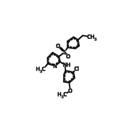 CCc1ccc(S(=O)(=O)c2ccc(C)nc2Nc2ccc(OC)cc2Cl)cc1